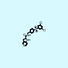 O=C(NCc1ccc(S(=O)(=O)c2cc(Cl)cc(Cl)c2)cc1)C1Cc2cnccc2N1